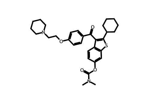 CN(C)C(=O)Oc1ccc2c(C(=O)c3ccc(OCCN4CCCCC4)cc3)c(C3CCCCC3)sc2c1